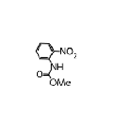 COC(=O)Nc1ccccc1[N+](=O)[O-]